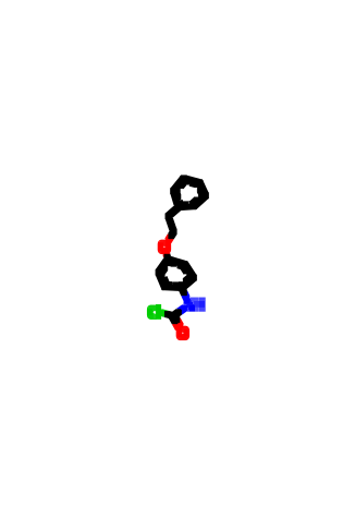 O=C(Cl)Nc1ccc(OCCc2ccccc2)cc1